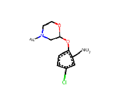 CC(=O)N1CCOC(Oc2ccc(Cl)cc2[N+](=O)[O-])C1